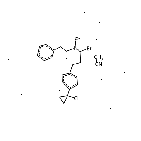 CC#N.CCC(CCc1ccc(C2(Cl)CC2)cc1)N(CCc1ccccc1)C(C)C